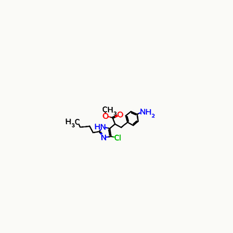 CCCCc1nc(Cl)c(C(Cc2ccc(N)cc2)C(=O)OC)[nH]1